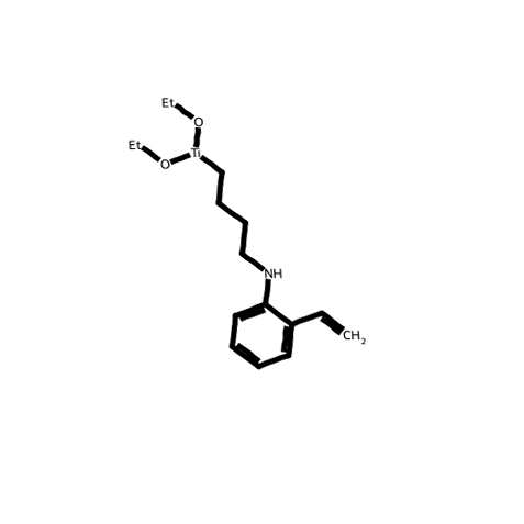 C=Cc1ccccc1NCCC[CH2][Ti]([O]CC)[O]CC